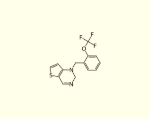 FC(F)(F)Oc1ccccc1CN1CN=Cc2sccc21